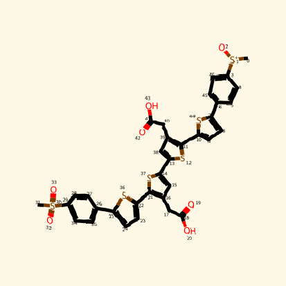 C[S+]([O-])c1ccc(-c2ccc(-c3sc(-c4cc(CC(=O)O)c(-c5ccc(-c6ccc(S(C)(=O)=O)cc6)s5)s4)cc3CC(=O)O)s2)cc1